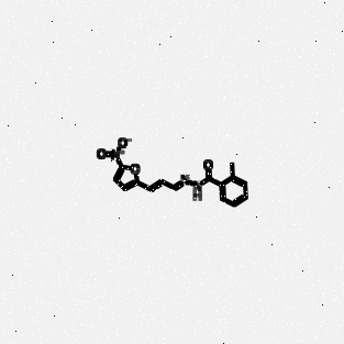 Cc1ccccc1C(=O)N/N=C/C=C/c1ccc([N+](=O)[O-])o1